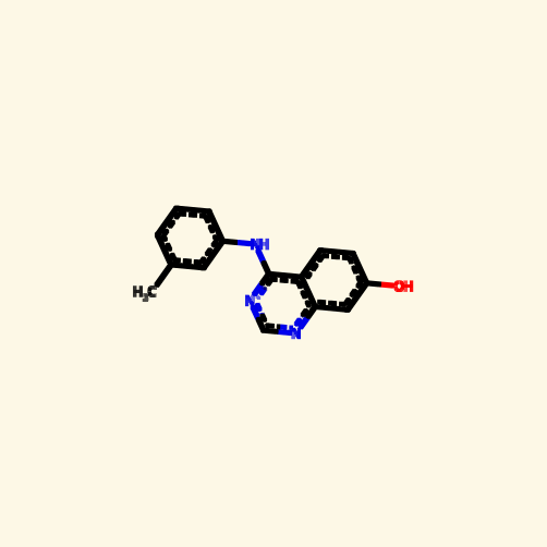 Cc1cccc(Nc2ncnc3cc(O)ccc23)c1